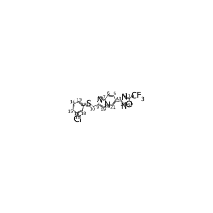 FC(F)(F)c1nc(-c2ccc3nc(CSc4cccc(Cl)c4)cn3c2)no1